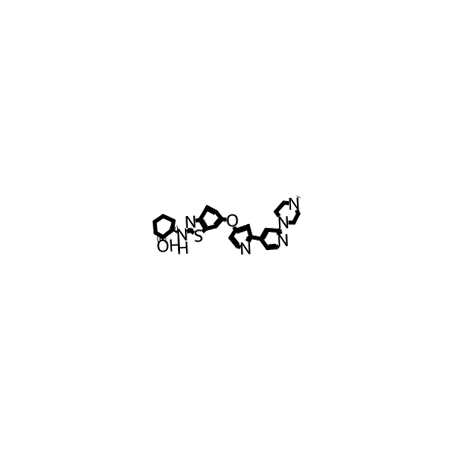 CN1CCN(c2cc(-c3cc(Oc4ccc5nc(N[C@@H]6CCCC[C@H]6O)sc5c4)ccn3)ccn2)CC1